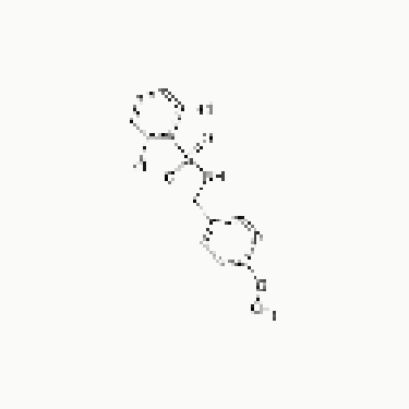 COc1ccc(CNS(=O)(=O)c2c(Cl)cccc2Cl)cn1